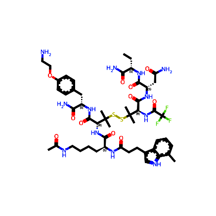 CC[C@H](NC(=O)[C@H](CC(N)=O)NC(=O)[C@@H](NC(=O)C(F)(F)F)C(C)(C)SSC(C)(C)[C@H](NC(=O)[C@H](CCCCNC(C)=O)NC(=O)CCc1c[nH]c2c(C)cccc12)C(=O)N[C@@H](Cc1ccc(OCCN)cc1)C(N)=O)C(N)=O